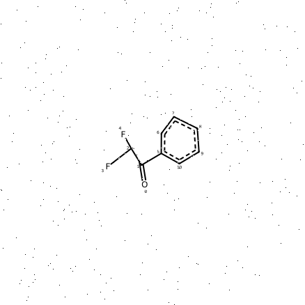 O=C([C](F)F)c1ccccc1